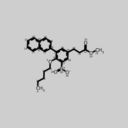 CCCCCOc1c(-c2ccc3ccccc3c2)cc(CCC(=O)OC)cc1[N+](=O)[O-]